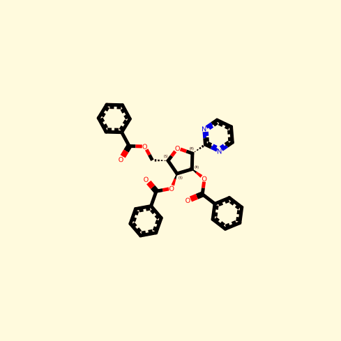 O=C(OC[C@@H]1O[C@H](c2ncccn2)[C@@H](OC(=O)c2ccccc2)[C@H]1OC(=O)c1ccccc1)c1ccccc1